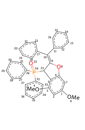 COc1cc(OC)c2c(c1)OC(=C(c1ccccc1)c1ccccc1)C2P(=O)(c1ccccc1)c1ccccc1